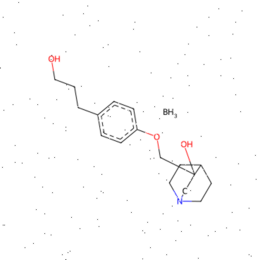 B.OCCCc1ccc(OCC2(O)CN3CCC2CC3)cc1